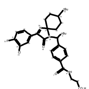 CCCCC(c1ccc(C(=O)NCCC(=O)O)cc1)N1C(=O)C(c2ccc(F)c(Cl)c2)=NC12CCC(C(C)(C)C)CC2